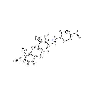 C=CC1CCC(/C=C/c2cc3c(c(F)c2F)Oc2c(ccc(CCC)c2F)C3)CO1